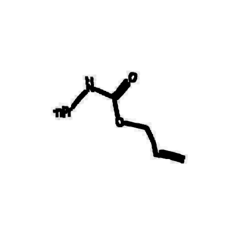 C=CCOC(=O)N[CH]CC